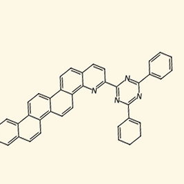 C1=CC(c2nc(-c3ccccc3)nc(-c3ccc4ccc5c6ccc7c8ccccc8ccc7c6ccc5c4n3)n2)=CCC1